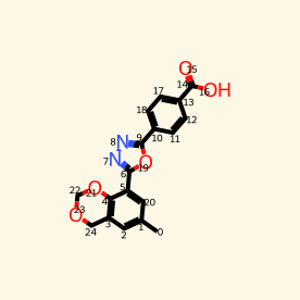 Cc1cc2c(c(-c3nnc(-c4ccc(C(=O)O)cc4)o3)c1)OCOC2